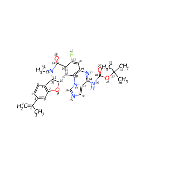 C=C(C)c1ccc2c(c1)OC[C@H]2N(C)C(=O)c1cc2c(cc1F)nc(NC(=O)OC(C)(C)C)c1cncn12